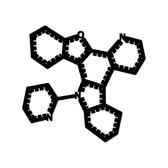 c1ccc(-n2c3ccccc3c3c4cccnc4c4oc5ccccc5c4c32)nc1